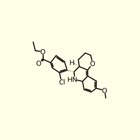 CCOC(=O)c1ccc([C@H]2NC3C=CC(OC)=CC3=C3OCCC[C@@H]32)c(Cl)c1